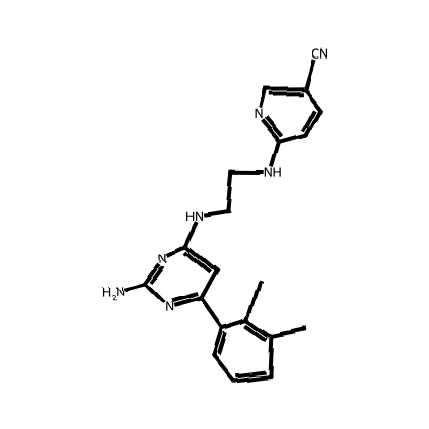 Cc1cccc(-c2cc(NCCNc3ccc(C#N)cn3)nc(N)n2)c1C